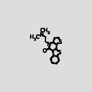 CN(C)CCn1c(=O)c2c3ccccc3sc2c2sccc21